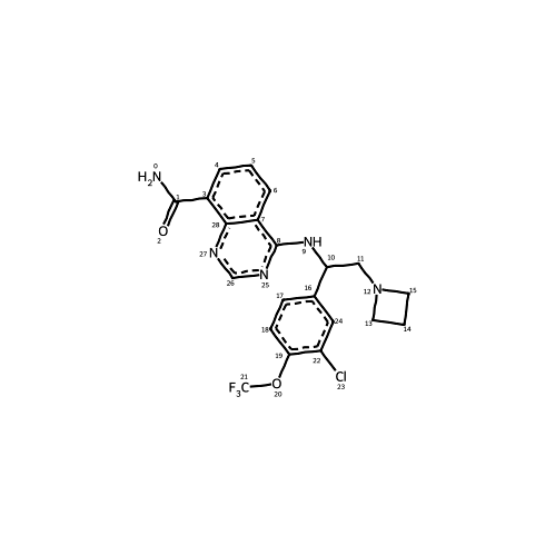 NC(=O)c1cccc2c(NC(CN3CCC3)c3ccc(OC(F)(F)F)c(Cl)c3)ncnc12